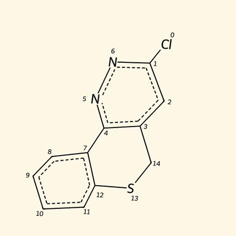 Clc1cc2c(nn1)-c1ccccc1SC2